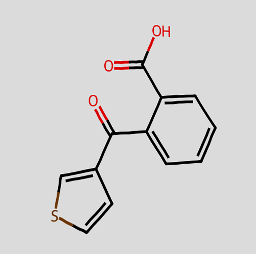 O=C(O)c1ccccc1C(=O)c1ccsc1